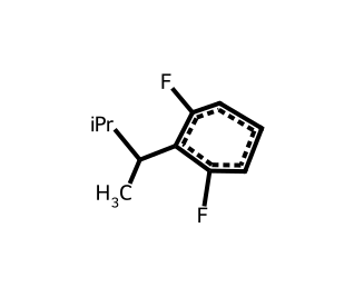 CC(C)C(C)c1c(F)cccc1F